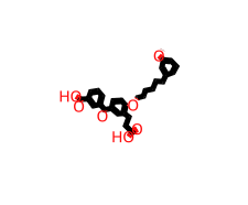 COc1cccc(CCCCCCOc2ccc(C(=O)c3cccc(C(=O)O)c3)cc2CCC(=O)O)c1